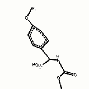 CC(C)Oc1ccc(C(NC(=O)OC(C)(C)C)C(=O)O)cc1